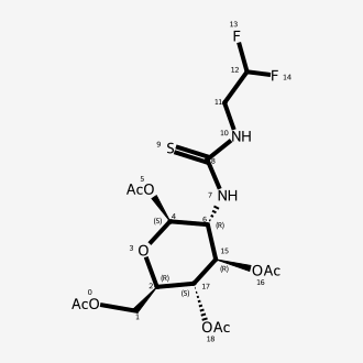 CC(=O)OC[C@H]1O[C@@H](OC(C)=O)[C@H](NC(=S)NCC(F)F)[C@@H](OC(C)=O)[C@@H]1OC(C)=O